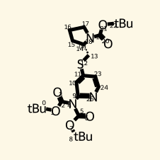 CC(C)(C)OC(=O)N(C(=O)OC(C)(C)C)c1cc(SC[C@@H]2CCCN2C(=O)OC(C)(C)C)ccn1